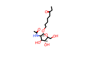 CCC(=O)CCCCCO[C@@H]1OC(CO)[C@H](O)C(O)C1NC(C)=O